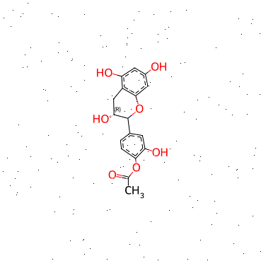 CC(=O)Oc1ccc(C2Oc3cc(O)cc(O)c3C[C@H]2O)cc1O